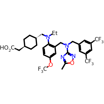 CCN(C[C@H]1CC[C@H](CC(=O)O)CC1)c1ccc(OC(F)(F)F)cc1CN(Cc1cc(C(F)(F)F)cc(C(F)(F)F)c1)c1noc(C)n1